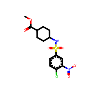 COC(=O)C1CCC(NS(=O)(=O)c2ccc(Cl)c([N+](=O)[O-])c2)CC1